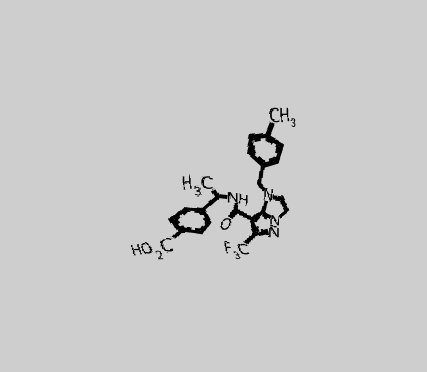 Cc1ccc(CN2CCn3nc(C(F)(F)F)c(C(=O)NC(C)c4ccc(C(=O)O)cc4)c32)cc1